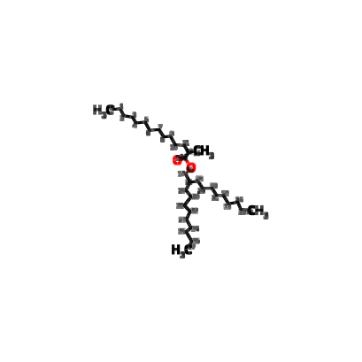 CCCCCCCCCCCCC(C)C(=O)OCC(CCCCCCCCC)CCCCCCCCC